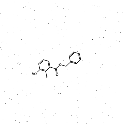 O=C(OCc1ccccc1)c1cccc(O)c1F